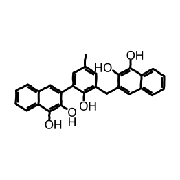 Cc1cc(Cc2cc3ccccc3c(O)c2O)c(O)c(-c2cc3ccccc3c(O)c2O)c1